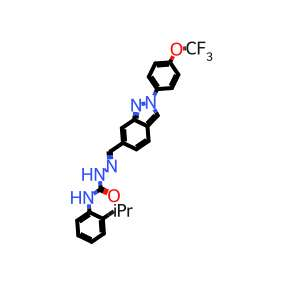 CC(C)c1ccccc1NC(=O)N/N=C/c1ccc2cn(-c3ccc(OC(F)(F)F)cc3)nc2c1